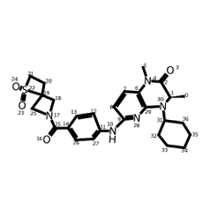 C[C@@H]1C(=O)N(C)c2ccc(Nc3ccc(C(=O)N4CC5(CCS5(=O)=O)C4)cc3)nc2N1C1CCCCC1